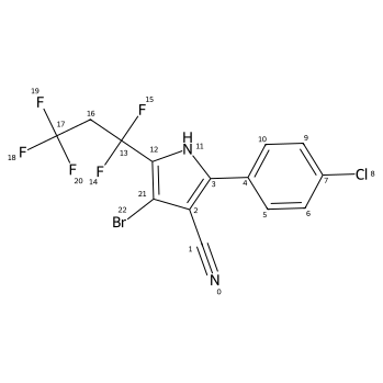 N#Cc1c(-c2ccc(Cl)cc2)[nH]c(C(F)(F)CC(F)(F)F)c1Br